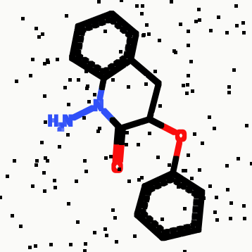 NN1C(=O)C(Oc2ccccc2)Cc2ccccc21